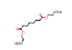 CCCCCCCCCCCCOC(=O)CCCCCCC(=O)OCCCCCCCCCCCC